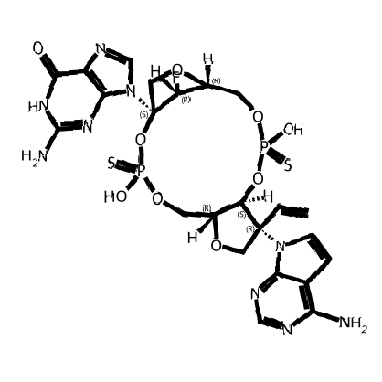 C=C[C@@]1(n2ccc3c(N)ncnc32)CO[C@@H]2COP(O)(=S)O[C@@]3(n4cnc5c(=O)[nH]c(N)nc54)CO[C@H](COP(O)(=S)O[C@H]21)[C@H]3F